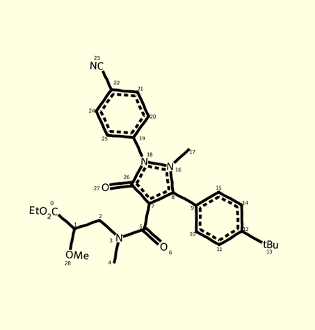 CCOC(=O)C(CN(C)C(=O)c1c(-c2ccc(C(C)(C)C)cc2)n(C)n(-c2ccc(C#N)cc2)c1=O)OC